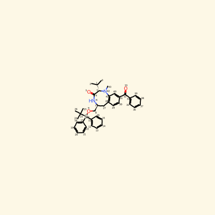 CC(C)[C@H]1C(=O)N[C@H](CO[Si](c2ccccc2)(c2ccccc2)C(C)(C)C)Cc2ccc(C(=O)c3ccccc3)cc2N1C